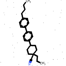 CCCCc1ccc(-c2ccc(C3CCC(C#N)(CCC)CC3)cc2)cc1